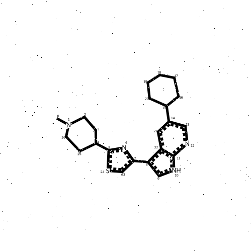 CN1CCC(c2nc(-c3c[nH]c4ncc(C5CCCCC5)cc34)cs2)CC1